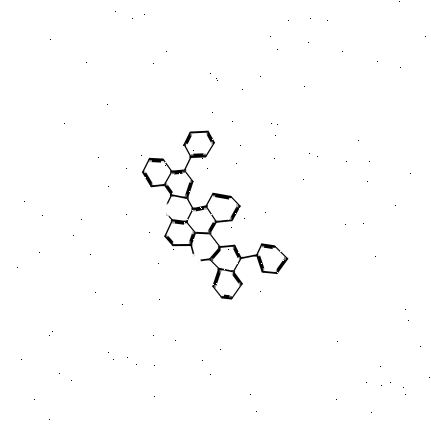 c1ccc(-c2cc3c(c4ccccc24)Sc2ccc4c5c(c6ccccc6c-3c25)-c2cc(-c3ccccc3)c3ccccc3c2S4)cc1